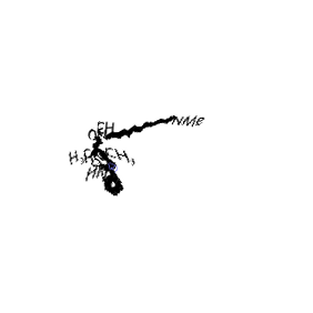 CNCCCCCCCCCCCCN(C)C(=O)CCc1c(C)[nH]c(/C=C2\C(=O)Nc3ccccc32)c1C